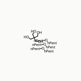 CCCCCOCCCCC.CCCCCOCCCCC.CCCCCOCCCCC.OCC(CO)(CO)CO